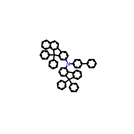 c1ccc(-c2ccc(N(c3ccc4c(c3)C(c3ccccc3)(c3ccccc3)c3c-4ccc4ccccc34)c3cccc4c3-c3ccccc3C4(c3ccccc3)c3ccccc3)cc2)cc1